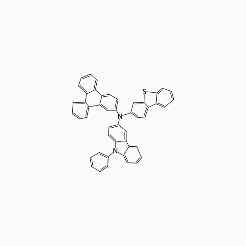 c1ccc(-n2c3ccccc3c3cc(N(c4ccc5c(c4)sc4ccccc45)c4ccc5c6ccccc6c6ccccc6c5c4)ccc32)cc1